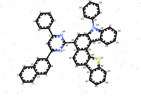 c1ccc(-c2cc(-c3ccc4ccccc4c3)nc(-c3cc4c(c5ccccc5n4-c4ccccc4)c4c3ccc3c5ccccc5sc34)n2)cc1